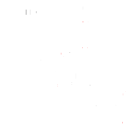 C/C=C/C(=O)[O-].C/C=C/C(=O)[O-].C/C=C/C(=O)[O-].[In+3]